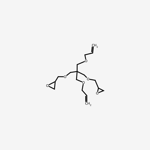 C=CCOCC(COCC=C)(COCC1CO1)COCC1CO1